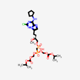 CO[C@@H](CCc1cnc2c(NC3CCCC3)nc(Cl)nn12)COP(=O)(O)CP(=O)(OCOC(=O)OC(C)C)OCOC(=O)OC(C)C